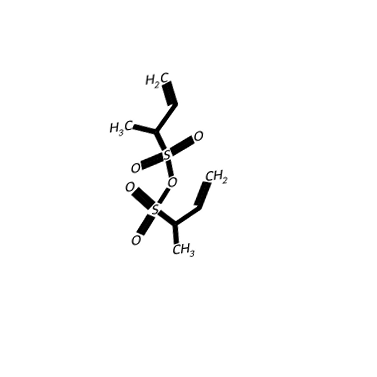 C=CC(C)S(=O)(=O)OS(=O)(=O)C(C)C=C